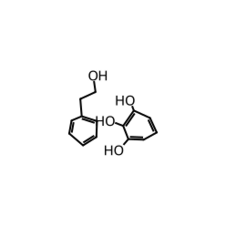 OCCc1ccccc1.Oc1cccc(O)c1O